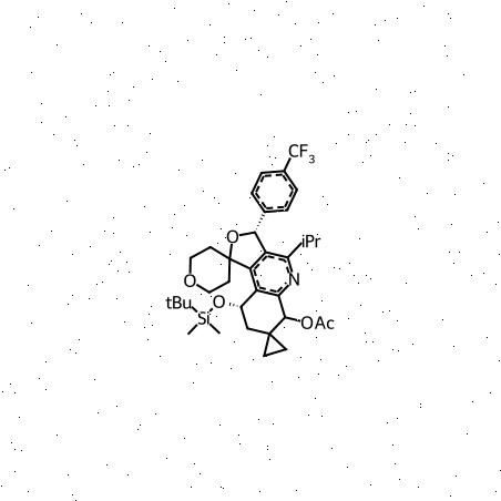 CC(=O)OC1c2nc(C(C)C)c3c(c2[C@@H](O[Si](C)(C)C(C)(C)C)CC12CC2)C1(CCOCC1)O[C@@H]3c1ccc(C(F)(F)F)cc1